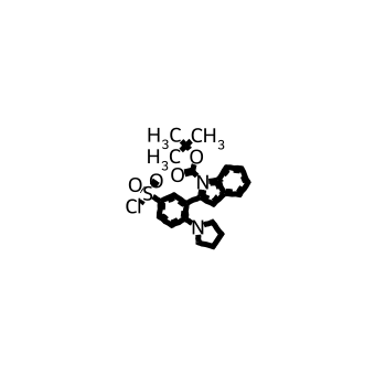 CC(C)(C)OC(=O)n1c(-c2cc(S(=O)(=O)Cl)ccc2N2CCCC2)cc2ccccc21